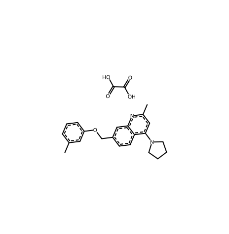 Cc1cccc(OCc2ccc3c(N4CCCC4)cc(C)nc3c2)c1.O=C(O)C(=O)O